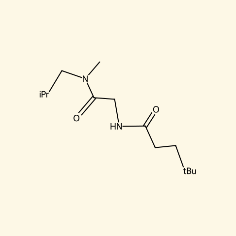 CC(C)CN(C)C(=O)CNC(=O)CCC(C)(C)C